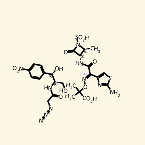 C[C@H]1[C@H](NC(=O)/C(=N/OC(C)(C)C(=O)O)c2csc(N)n2)C(=O)N1S(=O)(=O)O.[N-]=[N+]=NCC(=O)N[C@H](CO)[C@H](O)c1ccc([N+](=O)[O-])cc1